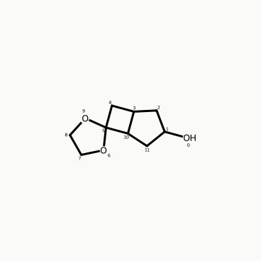 OC1CC2CC3(OCCO3)C2C1